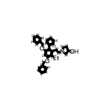 CCc1c(OCc2ccccc2)cc(OCc2ccccc2)c(-c2ccccc2)c1CCN1CCC(O)C1